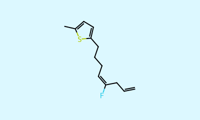 C=CC/C(F)=C\CCCc1ccc(C)s1